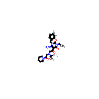 CCn1c(=O)c(C(=O)CN(CC(=O)N2CCCCC2)C(C)C)c(N)n(Cc2ccc(F)cc2)c1=O